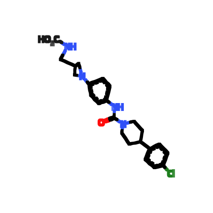 O=C(O)NCC1CN(c2ccc(NC(=O)N3CCC(c4ccc(Cl)cc4)CC3)cc2)C1